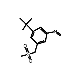 C=Nc1cc(CS(C)(=O)=O)cc(C(C)(C)C)c1